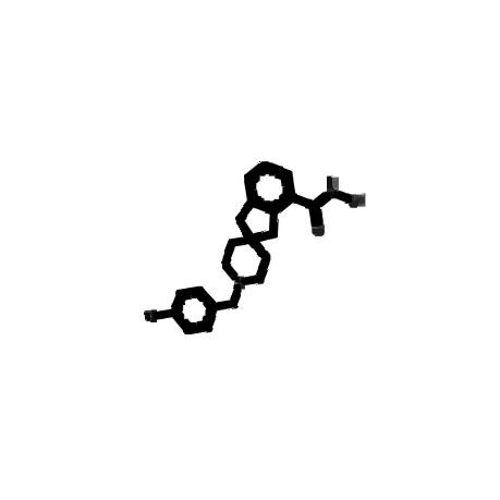 O=C(NO)c1cccc2c1CC1(CCN(Cc3ccc(Cl)cc3)CC1)C2